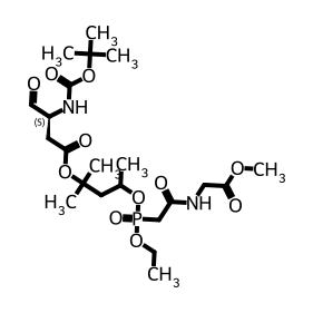 CCOP(=O)(CC(=O)NCC(=O)OC)OC(C)CC(C)(C)OC(=O)C[C@@H](C=O)NC(=O)OC(C)(C)C